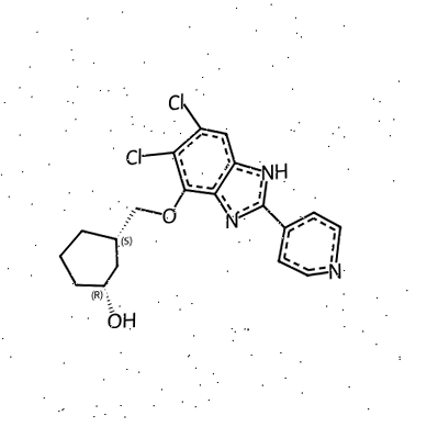 O[C@@H]1CCC[C@H](COc2c(Cl)c(Cl)cc3[nH]c(-c4ccncc4)nc23)C1